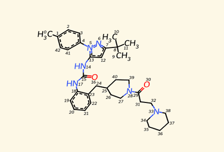 Cc1ccc(-n2nc(C(C)(C)C)cc2NC(=O)Nc2ccccc2CC2CCN(C(=O)CCN3CCCCC3)CC2)cc1